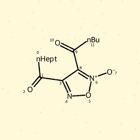 CCCCCCCC(=O)c1no[n+]([O-])c1C(=O)CCCC